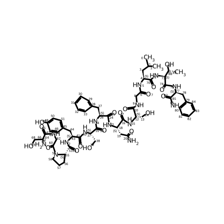 CC(C)C[C@H](NC(=O)CNC(=O)[C@H](CO)NC(=O)[C@H](CC(N)=O)NC(=O)[C@H](Cc1ccccc1)NC(=O)[C@H](CO)NC(=O)[C@H](Cc1ccc(O)cc1)NC(=O)[C@@H]1CCCN1C(=O)CNC(=O)[C@@H](N)CO)C(=O)N[C@H](C(=O)N[C@@H](Cc1ccccc1)C(N)=O)[C@@H](C)O